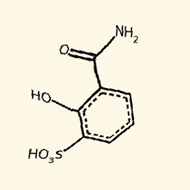 NC(=O)c1cccc(S(=O)(=O)O)c1O